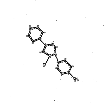 Cc1ccc(-c2cnc(-c3ccncc3)nc2Cl)cc1